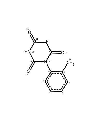 Cc1ccccc1N1C(=O)CC(=O)NC1=S